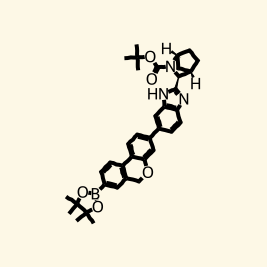 CC(C)(C)OC(=O)N1[C@@H]2CC[C@@H](C2)[C@H]1c1nc2ccc(-c3ccc4c(c3)OCc3cc(B5OC(C)(C)C(C)(C)O5)ccc3-4)cc2[nH]1